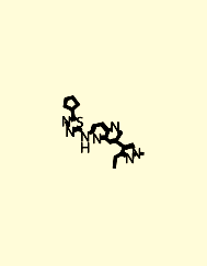 CCc1nn(C)cc1-c1cnc2ccc(Nc3nnc(C4CCCC4)s3)nc2c1